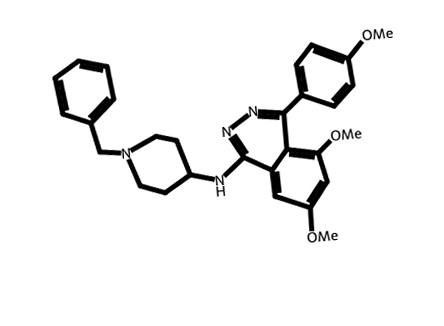 COc1ccc(-c2nnc(NC3CCN(Cc4ccccc4)CC3)c3cc(OC)cc(OC)c23)cc1